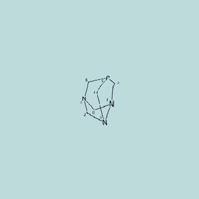 C1N2CN3CP(C2)CN13